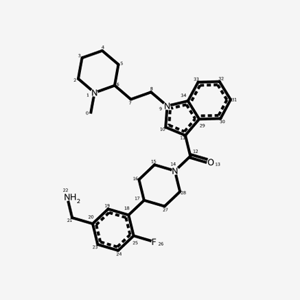 CN1CCCCC1CCn1cc(C(=O)N2CCC(c3cc(CN)ccc3F)CC2)c2ccccc21